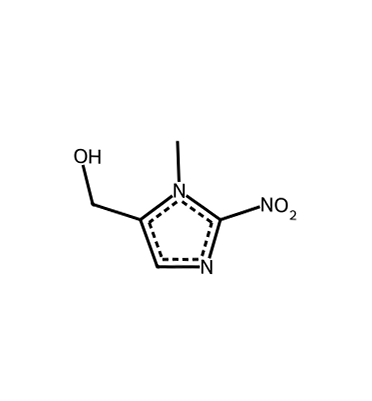 Cn1c(CO)cnc1[N+](=O)[O-]